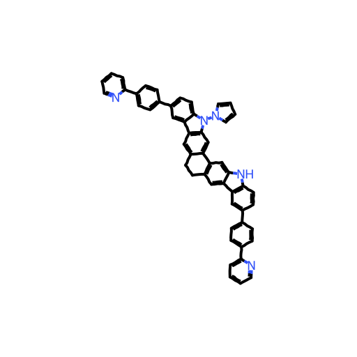 c1ccc(-c2ccc(-c3ccc4[nH]c5cc6c(cc5c4c3)CCc3cc4c5cc(-c7ccc(-c8ccccn8)cc7)ccc5n(-n5cccc5)c4cc3-6)cc2)nc1